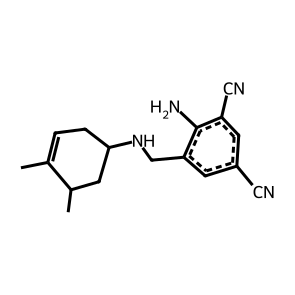 CC1=CCC(NCc2cc(C#N)cc(C#N)c2N)CC1C